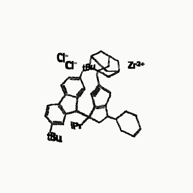 CC(C)C1(C2c3cc(C(C)(C)C)ccc3-c3ccc(C(C)(C)C)cc32)CC(C2CCCCC2)C2=C1C=C(C13CC4CC(CC(C4)C1)C3)C2.[Cl-].[Cl-].[Zr+2]